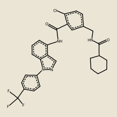 O=C(Nc1cccc2c1cnn2-c1ccc(C(F)(F)F)cc1)c1cc(CNC(=O)C2CCCCC2)ccc1Cl